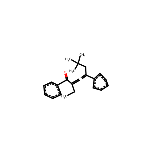 CCC(=C=C(CC(C)(C)C)c1ccccc1)C(=O)c1ccccc1